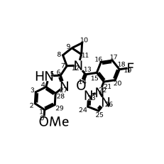 COc1ccc2[nH]c(C3CC4CC4N3C(=O)c3ccc(F)cc3-n3nccn3)nc2c1